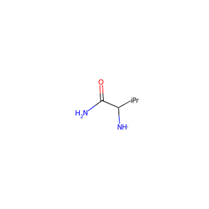 CC(C)C([NH])C(N)=O